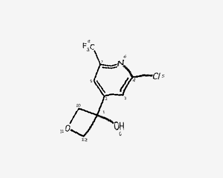 OC1(c2cc(Cl)nc(C(F)(F)F)c2)COC1